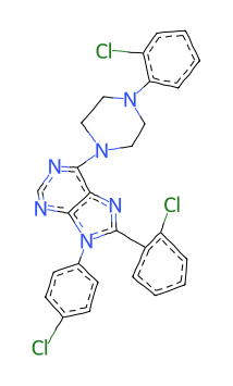 Clc1ccc(-n2c(-c3ccccc3Cl)nc3c(N4CCN(c5ccccc5Cl)CC4)ncnc32)cc1